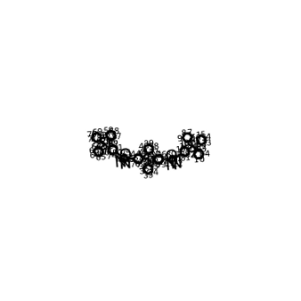 c1ccc([Si](c2ccccc2)(c2ccccc2)c2ccc(-c3nnc(-c4ccc([Si](c5ccccc5)(c5ccccc5)c5ccc(-c6nnc(-c7ccc([Si](c8ccccc8)(c8ccccc8)c8ccccc8)cc7)o6)cc5)cc4)o3)cc2)cc1